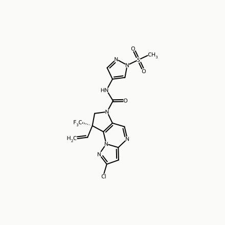 C=C[C@@]1(C(F)(F)F)CN(C(=O)Nc2cnn(S(C)(=O)=O)c2)c2cnc3cc(Cl)nn3c21